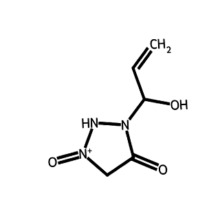 C=CC(O)N1N[N+](=O)CC1=O